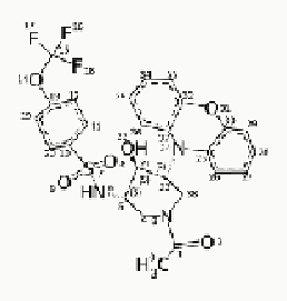 CC(=O)N1C[C@H](NS(=O)(=O)c2ccc(OC(F)(F)F)cc2)[C@@H](O)[C@H](N2c3ccccc3Oc3ccccc32)C1